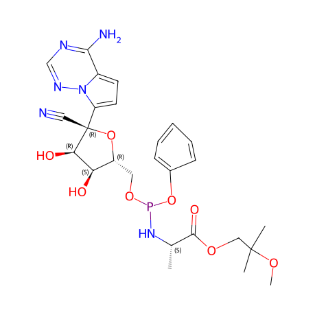 COC(C)(C)COC(=O)[C@H](C)NP(OC[C@H]1O[C@@](C#N)(c2ccc3c(N)ncnn23)[C@H](O)[C@@H]1O)Oc1ccccc1